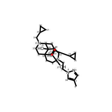 Cc1cnn(CCN2CCC34CCN(CC5CC5)C(Cc5cc(C6CC6)c(O)cc53)C4(O)CC2)c1